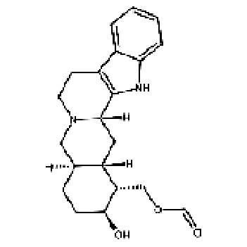 O=COC[C@H]1[C@H]2C[C@H]3c4[nH]c5ccccc5c4CCN3C[C@@H]2CC[C@@H]1O